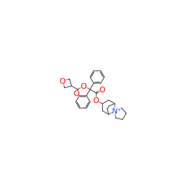 O=C(OC(C(=O)OC1CC2CCC(C1)[N+]21CCCC1)(c1ccccc1)c1ccccc1)C1COC1